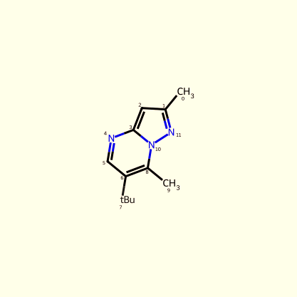 Cc1cc2ncc(C(C)(C)C)c(C)n2n1